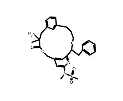 CN(c1cc2cc(n1)C(Cc1ccccc1)CCCCc1cccc(c1)CC(C)(N)C(=O)OC2)S(C)(=O)=O